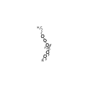 CCCCCc1ccc(-c2ccc(-c3cc(F)c(C(F)(F)Oc4ccc(-c5ccc(C#N)c(F)c5)c(F)c4)c(F)c3)cc2)cc1